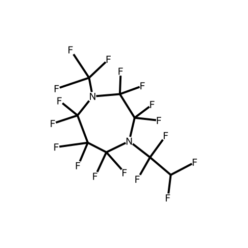 FC(F)C(F)(F)N1C(F)(F)C(F)(F)N(C(F)(F)F)C(F)(F)C(F)(F)C1(F)F